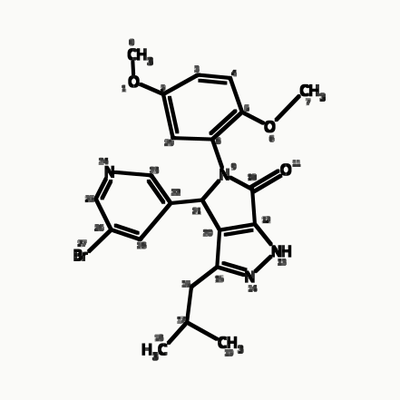 COc1ccc(OC)c(N2C(=O)c3[nH]nc(CC(C)C)c3C2c2cncc(Br)c2)c1